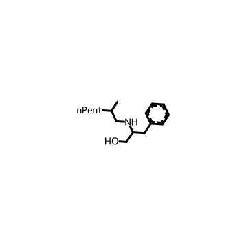 CCCCCC(C)CNC(CO)Cc1ccccc1